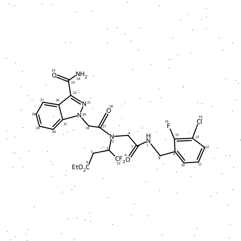 CCOC(=O)CC(N(CC(=O)NCc1cccc(Cl)c1F)C(=O)Cn1nc(C(N)=O)c2ccccc21)C(F)(F)F